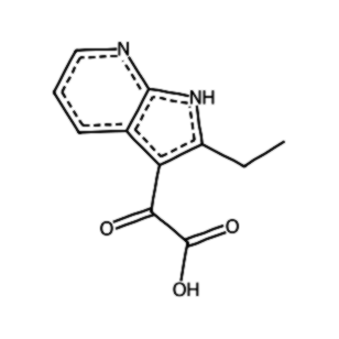 CCc1[nH]c2ncccc2c1C(=O)C(=O)O